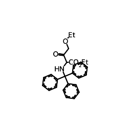 CCOCC(=O)C(NC(c1ccccc1)(c1ccccc1)c1ccccc1)C(=O)OCC